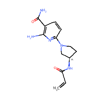 C=CC(=O)N[C@@H]1CCN(c2ccc(C(N)=O)c(N)n2)C1